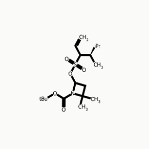 C=CC([C@H](C)C(C)C)S(=O)(=O)OC1CC(C)(C)N1C(=O)OC(C)(C)C